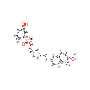 COc1ccc2cc(CCN3CCC(COS(=O)(=O)c4cc(O)ccc4C)C3)ccc2c1C